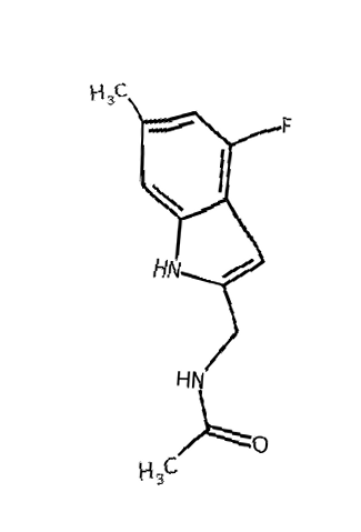 CC(=O)NCc1cc2c(F)cc(C)cc2[nH]1